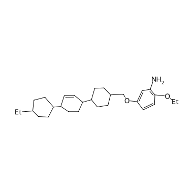 CCOc1ccc(OCC2CCC(C3C=CC(C4CCC(CC)CC4)CC3)CC2)cc1N